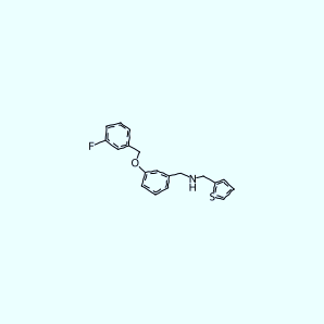 Fc1cccc(COc2cccc(CNCc3cccs3)c2)c1